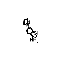 Nc1onc2cc(-n3cccn3)ccc12